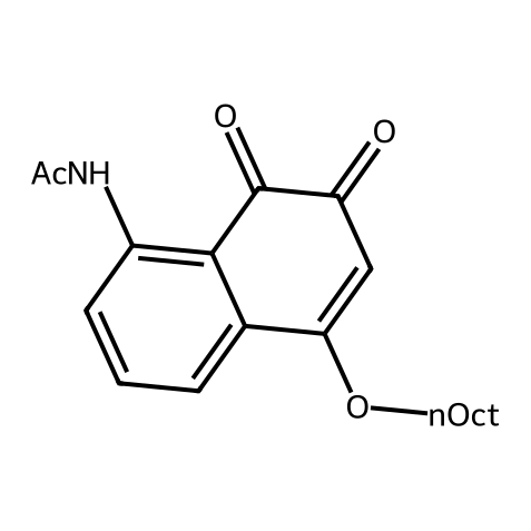 CCCCCCCCOC1=CC(=O)C(=O)c2c(NC(C)=O)cccc21